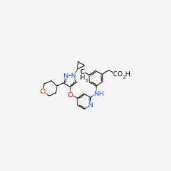 Cc1cc(CC(=O)O)cc(Nc2cc(Oc3cn(C4CC4)nc3C3CCOCC3)ccn2)c1